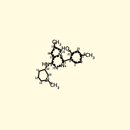 Cc1ccc(-c2nnc(N[C@@H]3CCCN(C)C3)c3cc(C)cn23)c(O)c1